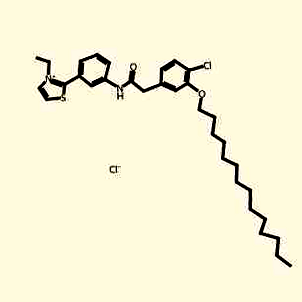 CCCCCCCCCCCCCCOc1cc(CC(=O)Nc2cccc(-c3scc[n+]3CC)c2)ccc1Cl.[Cl-]